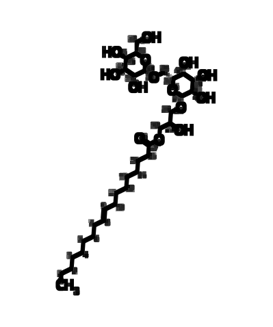 CCCCCCCCC=CCCCCCCCC(=O)OCC(O)CO[C@@H]1O[C@H](CO[C@H]2O[C@H](CO)[C@H](O)[C@H](O)[C@H]2O)[C@H](O)[C@H](O)[C@H]1O